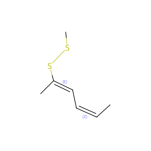 C/C=C\C=C(/C)SSC